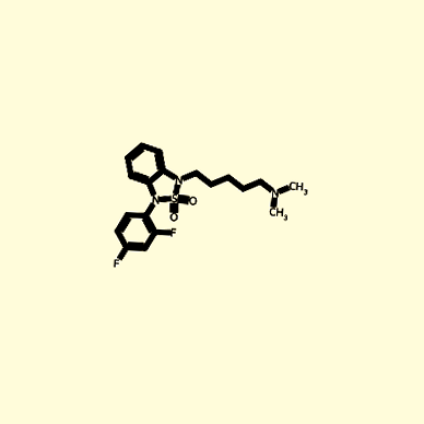 CN(C)CCCCCN1c2ccccc2N(c2ccc(F)cc2F)S1(=O)=O